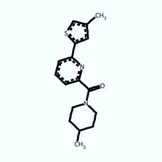 Cc1csc(-c2cccc(C(=O)N3CCC(C)CC3)n2)c1